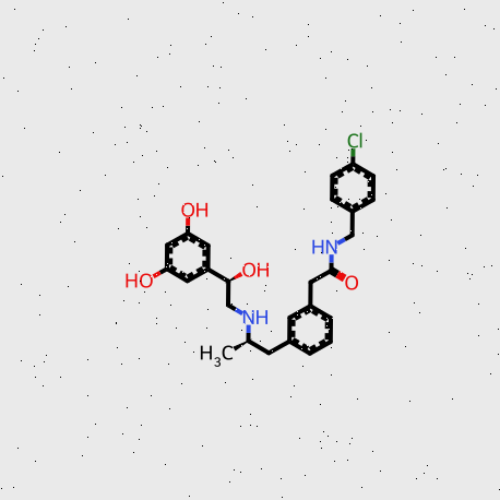 C[C@H](Cc1cccc(CC(=O)NCc2ccc(Cl)cc2)c1)NC[C@H](O)c1cc(O)cc(O)c1